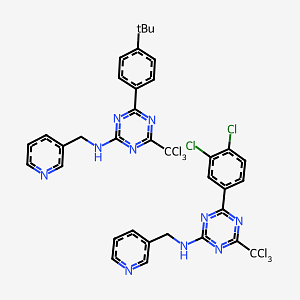 CC(C)(C)c1ccc(-c2nc(NCc3cccnc3)nc(C(Cl)(Cl)Cl)n2)cc1.Clc1ccc(-c2nc(NCc3cccnc3)nc(C(Cl)(Cl)Cl)n2)cc1Cl